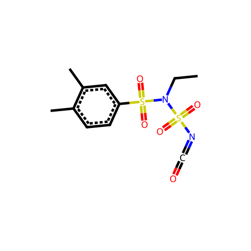 CCN(S(=O)(=O)N=C=O)S(=O)(=O)c1ccc(C)c(C)c1